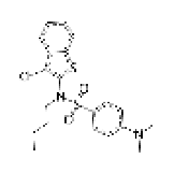 CCCCN(c1sc2ccccc2c1Cl)S(=O)(=O)c1ccc(N(C)C)cc1